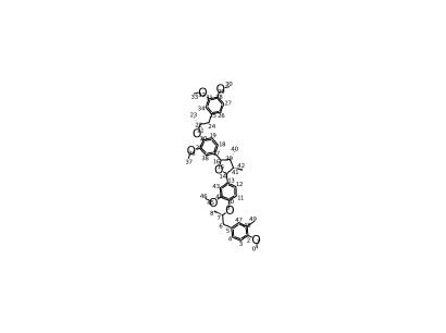 COc1ccc(C[C@@H](C)Oc2ccc(C3OC(c4ccc(O[C@H](C)Cc5ccc(OC)c(OC)c5)c(OC)c4)[C@H](C)[C@H]3C)cc2OC)cc1C